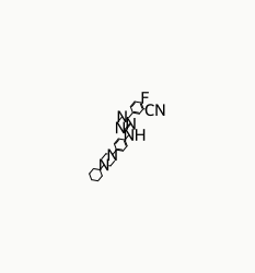 N#Cc1cc(-c2ncnc(Nc3ccc(N4CCN(C5CCCCC5)CC4)cc3)n2)ccc1F